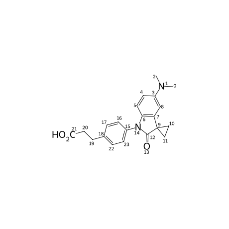 CN(C)c1ccc2c(c1)C1(CC1)C(=O)N2c1ccc(CCC(=O)O)cc1